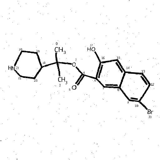 CC(C)(OC(=O)c1cc2cc(Br)ccc2cc1O)C1CCNCC1